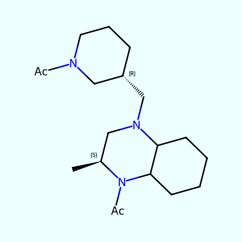 CC(=O)N1CCC[C@H](CN2C[C@H](C)N(C(C)=O)C3CCCCC32)C1